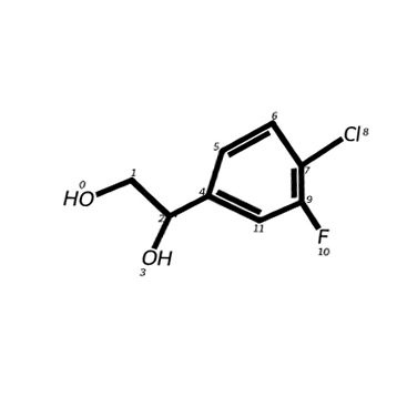 OC[C](O)c1ccc(Cl)c(F)c1